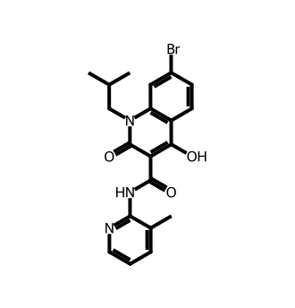 Cc1cccnc1NC(=O)c1c(O)c2ccc(Br)cc2n(CC(C)C)c1=O